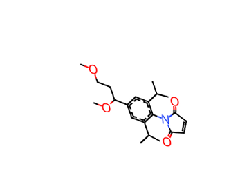 COCCC(OC)c1cc(C(C)C)c(N2C(=O)C=CC2=O)c(C(C)C)c1